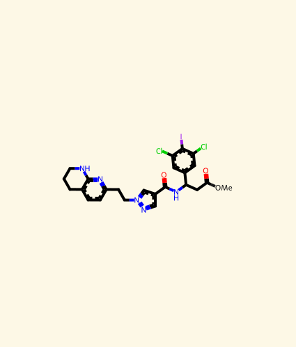 COC(=O)CC(NC(=O)c1cnn(CCc2ccc3c(n2)NCCC3)c1)c1cc(Cl)c(I)c(Cl)c1